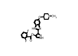 CN1CCC(Oc2ccc3[nH]c(-c4n[nH]cc4OC(=O)c4c(F)cccc4F)nc3c2)CC1